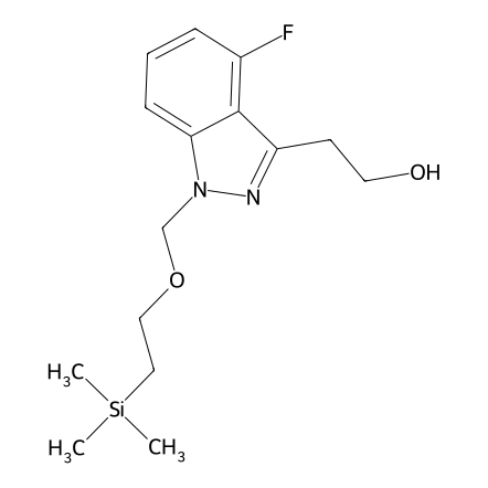 C[Si](C)(C)CCOCn1nc(CCO)c2c(F)cccc21